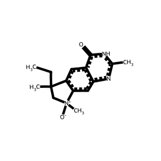 CCC1(C)C[N+](C)([O-])c2cc3nc(C)[nH]c(=O)c3cc21